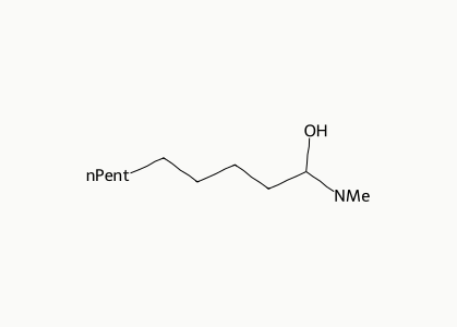 CCCCCCCCCC(O)NC